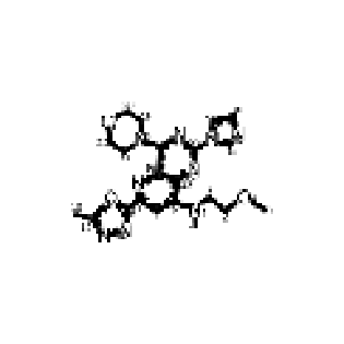 COCCN(C)c1cc(-c2nnc(C)o2)nc2c(N3CCOCC3)nc(-n3ccnc3)nc12